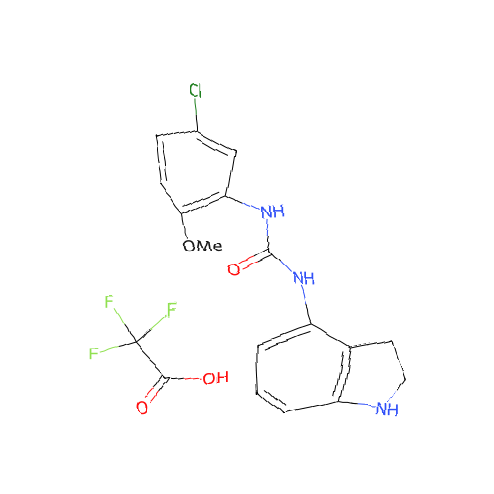 COc1ccc(Cl)cc1NC(=O)Nc1cccc2c1CCN2.O=C(O)C(F)(F)F